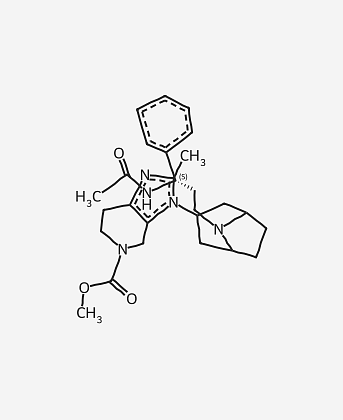 COC(=O)N1CCc2nc(C)n(C3CC4CCC(C3)N4CC[C@H](NC(C)=O)c3ccccc3)c2C1